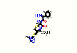 CC(C)n1cnnc1SCC1=C(C(=O)O)N2C(=O)C(NC(=O)C(N)c3ccccc3)[C@@H]2SC1